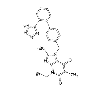 CCCCc1nc2c(c(=O)n(C)c(=O)n2CC(C)C)n1Cc1ccc(-c2ccccc2-c2nnn[nH]2)cc1